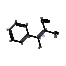 CO/C(=C(/C)c1ccccc1)C(C)C